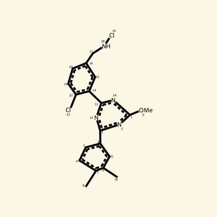 COc1nc(-c2ccc(C)c(C)c2)nc(-c2cc(CNCl)ccc2Cl)n1